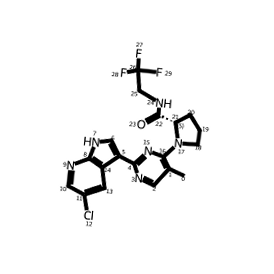 Cc1cnc(-c2c[nH]c3ncc(Cl)cc23)nc1N1CCC[C@H]1C(=O)NCC(F)(F)F